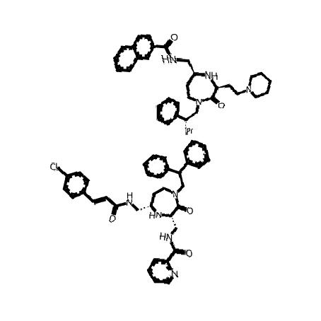 CC(C)[C@@H](CN1CC[C@@H](CNC(=O)c2ccc3ccccc3c2)N[C@@H](CCN2CCCCC2)C1=O)c1ccccc1.O=C(C=Cc1ccc(Cl)cc1)NC[C@@H]1CCN(CC(c2ccccc2)c2ccccc2)C(=O)[C@H](CNC(=O)c2ccccn2)N1